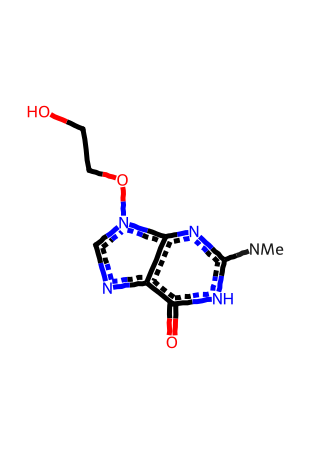 CNc1nc2c(ncn2OCCO)c(=O)[nH]1